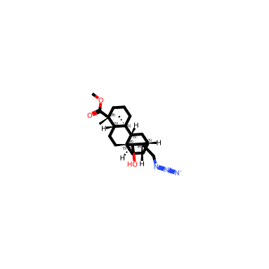 COC(=O)[C@]1(C)CCC[C@@]2(C)[C@@H]3C[C@@H]4CC[C@@]3(CC[C@@H]21)[C@H](O)[C@H]4CN=[N+]=[N-]